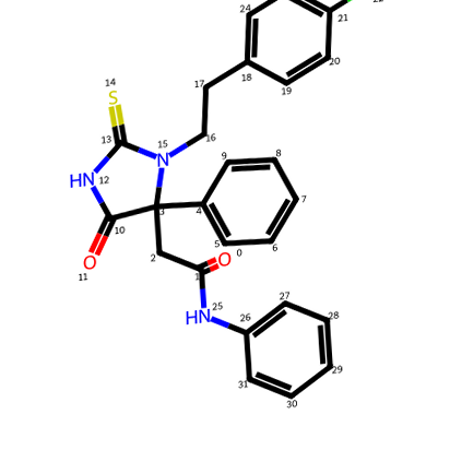 O=C(CC1(c2ccccc2)C(=O)NC(=S)N1CCc1ccc(Cl)cc1)Nc1ccccc1